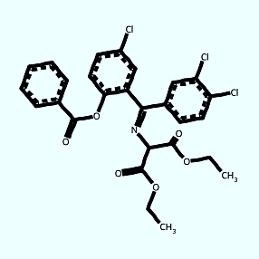 CCOC(=O)C(N=C(c1ccc(Cl)c(Cl)c1)c1cc(Cl)ccc1OC(=O)c1ccccc1)C(=O)OCC